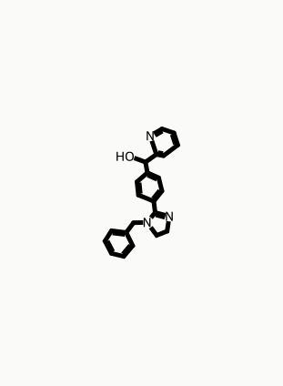 OC(c1ccc(C2=NCCN2Cc2ccccc2)cc1)c1ccccn1